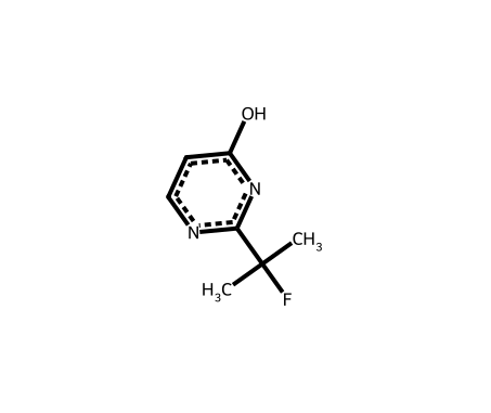 CC(C)(F)c1nccc(O)n1